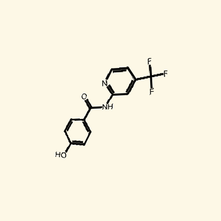 O=C(Nc1cc(C(F)(F)F)ccn1)c1ccc(O)cc1